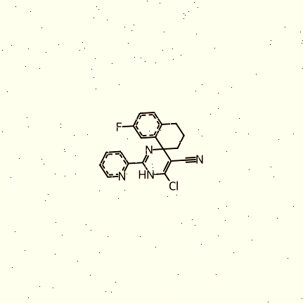 N#CC1=C(Cl)NC(c2ccccn2)=NC12CCCc1ccc(F)cc12